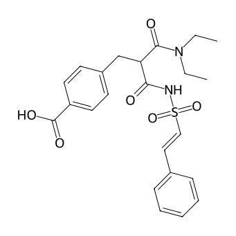 CCN(CC)C(=O)C(Cc1ccc(C(=O)O)cc1)C(=O)NS(=O)(=O)C=Cc1ccccc1